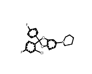 Fc1ccc(C2(c3ccc(F)cc3Cl)Oc3ccc(N4CCCCC4)cc3O2)cc1